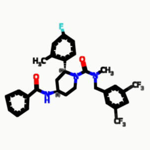 Cc1cc(F)ccc1[C@H]1C[C@H](NC(=O)c2ccccc2)CCN1C(=O)N(C)Cc1cc(C(F)(F)F)cc(C(F)(F)F)c1